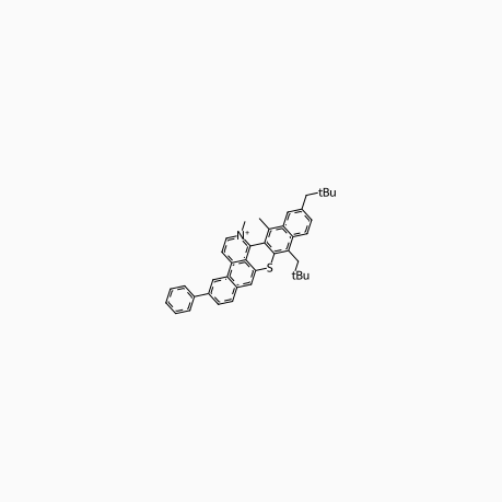 Cc1c2c(c(CC(C)(C)C)c3ccc(CC(C)(C)C)cc13)Sc1cc3ccc(-c4ccccc4)cc3c3cc[n+](C)c-2c13